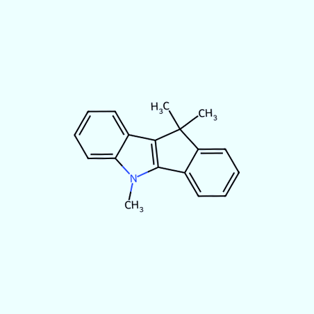 Cn1c2c(c3ccccc31)C(C)(C)c1ccccc1-2